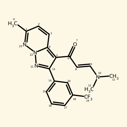 Cc1ccc2c(C(=O)/C=C/N(C)C)c(-c3cccc(C(F)(F)F)c3)nn2n1